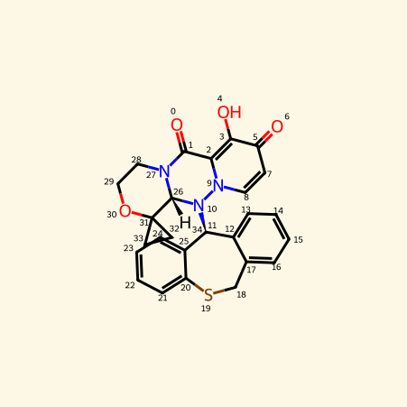 O=C1c2c(O)c(=O)ccn2N([C@H]2c3ccccc3CSc3ccccc32)[C@H]2N1CCOC21CC1